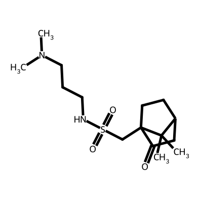 CN(C)CCCNS(=O)(=O)CC12CCC(CC1=O)C2(C)C